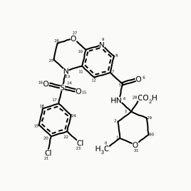 CC1CC(NC(=O)c2cnc3c(c2)N(S(=O)(=O)c2ccc(Cl)c(Cl)c2)CCO3)(C(=O)O)CCO1